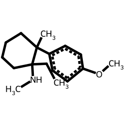 CCC1(NC)CCCCC1(C)c1ccc(OC)cc1